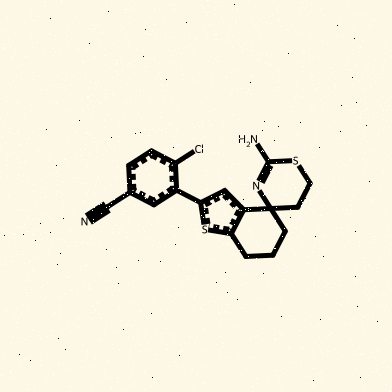 N#Cc1ccc(Cl)c(-c2cc3c(s2)CCCC32CCSC(N)=N2)c1